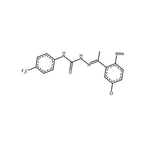 CNc1ccc(Cl)cc1/C(C)=N/NC(=O)Nc1ccc(C(F)(F)F)cc1